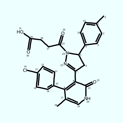 Cc1ccc(C2CC(c3c(-c4ccc(Cl)cc4)c(C)c[nH]c3=O)=NN2C(=O)CCC(=O)O)cc1